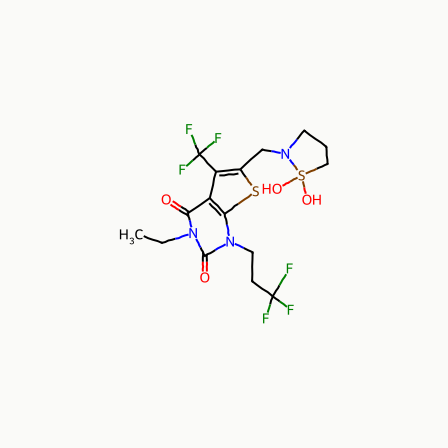 CCn1c(=O)c2c(C(F)(F)F)c(CN3CCCS3(O)O)sc2n(CCC(F)(F)F)c1=O